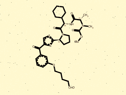 C[C@@H](C(=O)N[C@H](C(=O)N1CCC[C@H]1c1nc(C(=O)c2cccc(OCCCCC=O)c2)cs1)C1CCCCC1)N(C)C(=O)OC(C)(C)C